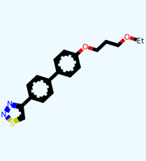 CCOCCCOc1ccc(-c2ccc(-c3csnn3)cc2)cc1